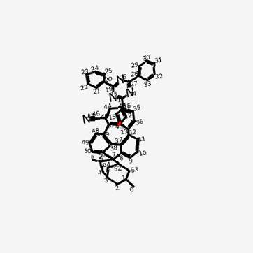 CC1CC2CC(C)C3(c4cccc(-c5ccc(-c6nc(-c7ccccc7)nc(-c7ccccc7)n6)cc5)c4-c4c(-c5ccccc5C#N)cccc43)C(C1)C2